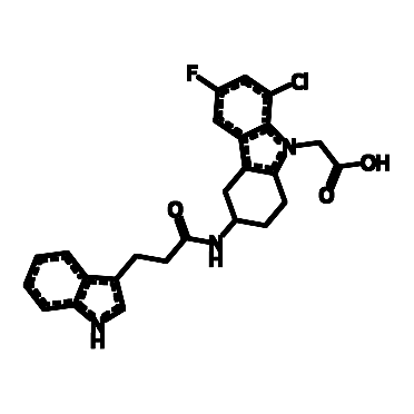 O=C(O)Cn1c2c(c3cc(F)cc(Cl)c31)CC(NC(=O)CCc1c[nH]c3ccccc13)CC2